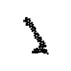 CCOc1cc([C@@H](CS(C)(=O)=O)N2C(=O)c3ccc(N4CCN(C5CCN(CCN6CCN(c7ccc(C8CCC(=O)NC8=O)cc7)CC6)CC5)CC4)cc3C2=O)ccc1OC